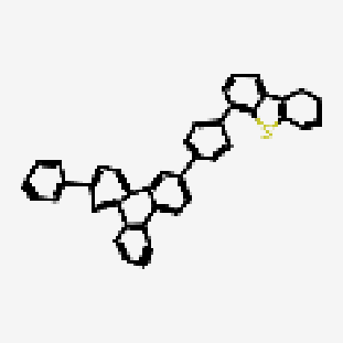 c1ccc(-c2ccc3c(c2)c2ccc#cc2c2ccc(-c4ccc(-c5cccc6c7c(sc56)C=CCC7)cc4)cc23)cc#1